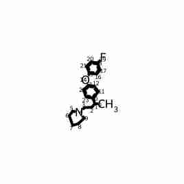 CC(CCN1CCCCC1)c1ccc(Oc2ccc(F)cc2)cc1